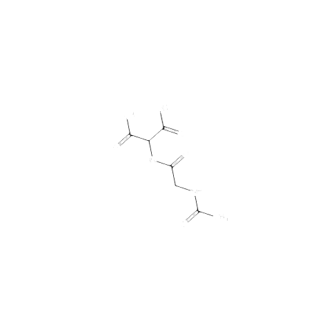 CC(=O)NCC(=O)NC(C(=O)O)C(=O)O